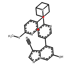 CSc1ccc(CN2C3CC2CN(c2ccc(-c4cc(O)cn5ncc(C#N)c45)cn2)C3)cn1